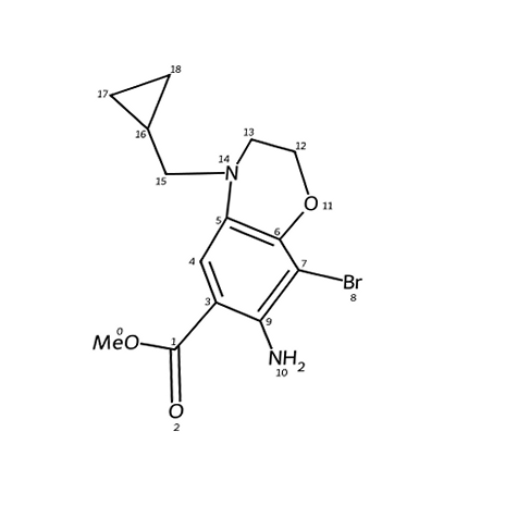 COC(=O)c1cc2c(c(Br)c1N)OCCN2CC1CC1